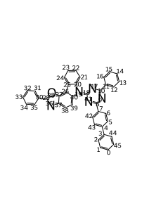 c1ccc(-c2ccc(-c3nc(-c4ccccc4)nc(-n4c5ccccc5c5c6oc(-c7ccccc7)nc6ccc54)n3)cc2)cc1